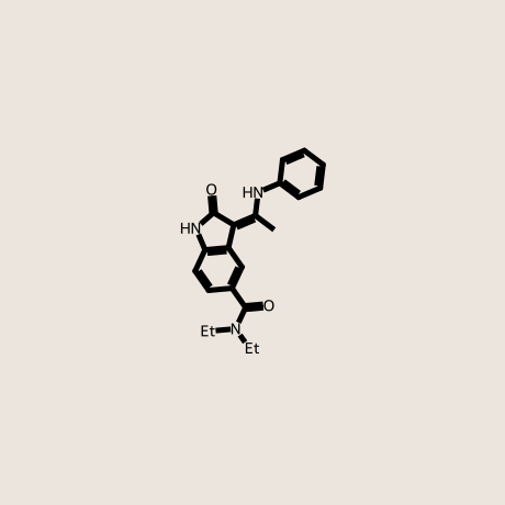 CCN(CC)C(=O)c1ccc2c(c1)/C(=C(\C)Nc1ccccc1)C(=O)N2